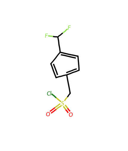 O=S(=O)(Cl)Cc1ccc(C(F)F)cc1